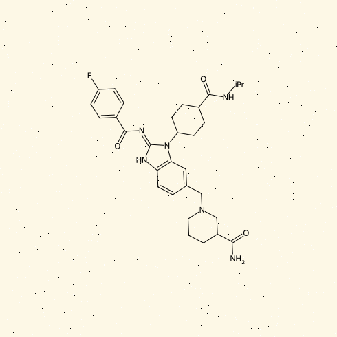 CC(C)NC(=O)C1CCC(n2/c(=N/C(=O)c3ccc(F)cc3)[nH]c3ccc(CN4CCCC(C(N)=O)C4)cc32)CC1